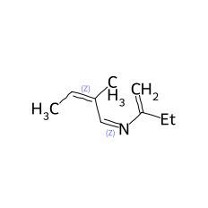 C=C(CC)/N=C\C(C)=C/C